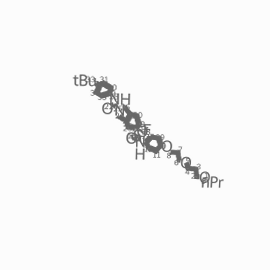 CCCOCCCOCCCOc1ccc(NS(=O)(=O)c2ccc3c(c2)CN(C(=O)Nc2ccc(C(C)(C)C)cc2)C3)c(F)c1